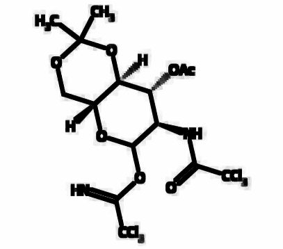 CC(=O)O[C@H]1[C@@H]2OC(C)(C)OC[C@H]2OC(OC(=N)C(Cl)(Cl)Cl)[C@@H]1NC(=O)C(Cl)(Cl)Cl